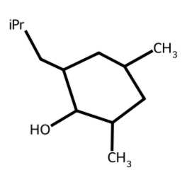 CC(C)CC1CC(C)CC(C)C1O